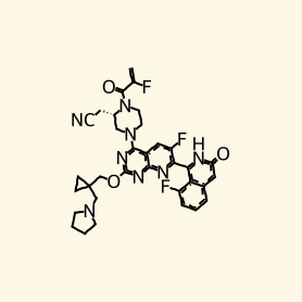 C=C(F)C(=O)N1CCN(c2nc(OCC3(CN4CCCC4)CC3)nc3nc(-c4[nH]c(=O)cc5cccc(F)c45)c(F)cc23)C[C@@H]1CC#N